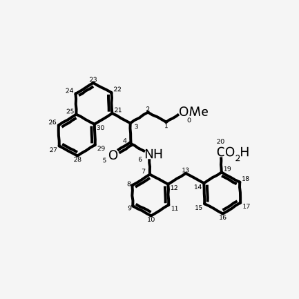 COCCC(C(=O)Nc1ccccc1Cc1ccccc1C(=O)O)c1cccc2ccccc12